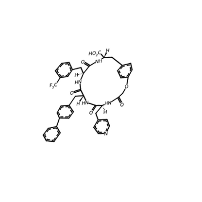 O=C1COc2ccc(cc2)C[C@@H](C(=O)O)NC(=O)[C@H](Cc2cccc(C(F)(F)F)c2)NC(=O)[C@@H](Cc2ccc(-c3ccccc3)cc2)NC(=O)[C@H](Cc2ccncc2)N1